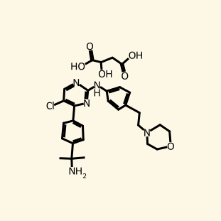 CC(C)(N)c1ccc(-c2nc(Nc3ccc(CCN4CCOCC4)cc3)ncc2Cl)cc1.O=C(O)CC(O)C(=O)O